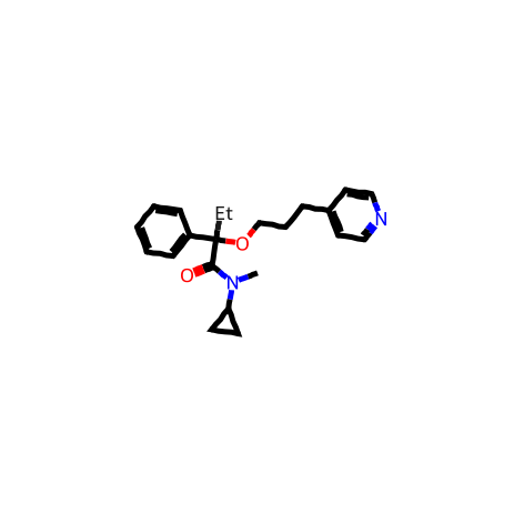 CCC(OCCCc1ccncc1)(C(=O)N(C)C1CC1)c1ccccc1